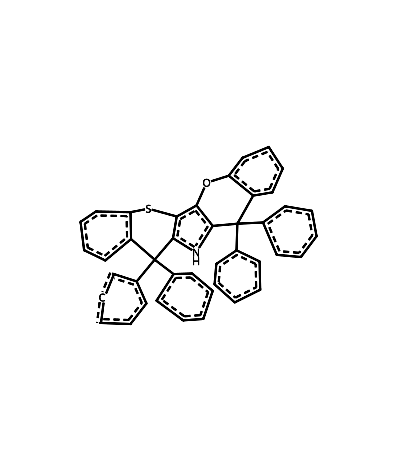 c1ccc(C2(c3ccccc3)c3ccccc3Oc3c2[nH]c2c3Sc3ccccc3C2(c2ccccc2)c2ccccc2)cc1